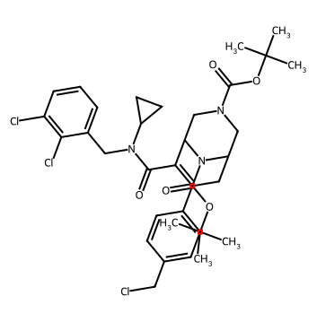 CC(C)(C)OC(=O)N1CC2CC(c3ccc(CCl)cc3)=C(C(=O)N(Cc3cccc(Cl)c3Cl)C3CC3)C(C1)N2C(=O)OC(C)(C)C